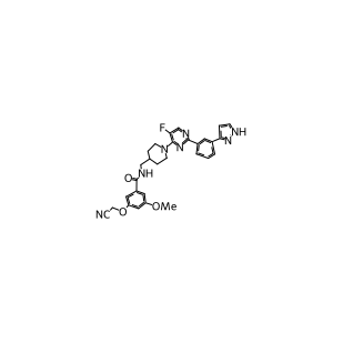 COc1cc(OCC#N)cc(C(=O)NCC2CCN(c3nc(-c4cccc(-c5cc[nH]n5)c4)ncc3F)CC2)c1